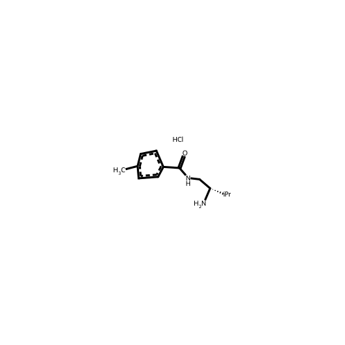 Cc1ccc(C(=O)NC[C@@H](N)C(C)C)cc1.Cl